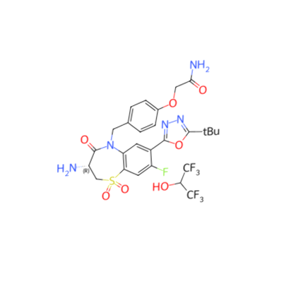 CC(C)(C)c1nnc(-c2cc3c(cc2F)S(=O)(=O)C[C@H](N)C(=O)N3Cc2ccc(OCC(N)=O)cc2)o1.OC(C(F)(F)F)C(F)(F)F